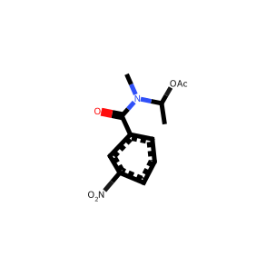 CC(=O)OC(C)N(C)C(=O)c1cccc([N+](=O)[O-])c1